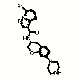 O=C(N[C@H]1COc2cc(N3CCNCC3)ccc2C1)c1cnn2c(Br)cccc12